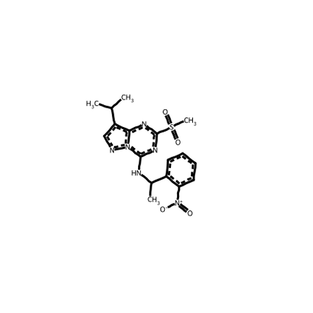 CC(C)c1cnn2c(NC(C)c3ccccc3[N+](=O)[O-])nc(S(C)(=O)=O)nc12